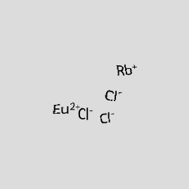 [Cl-].[Cl-].[Cl-].[Eu+2].[Rb+]